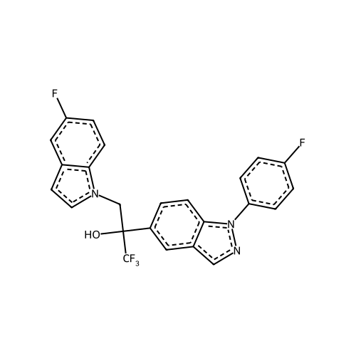 OC(Cn1ccc2cc(F)ccc21)(c1ccc2c(cnn2-c2ccc(F)cc2)c1)C(F)(F)F